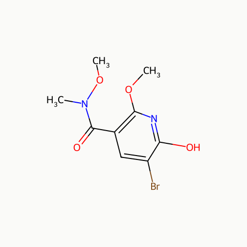 COc1nc(O)c(Br)cc1C(=O)N(C)OC